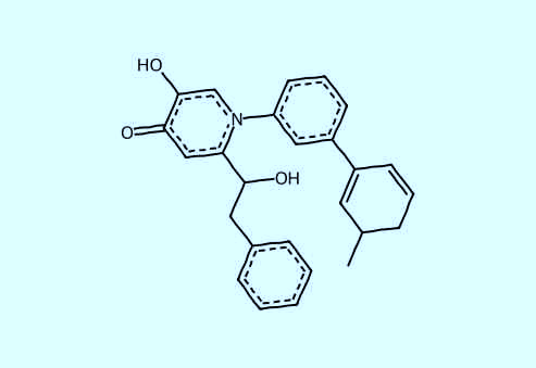 CC1C=C(c2cccc(-n3cc(O)c(=O)cc3C(O)Cc3ccccc3)c2)C=CC1